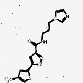 Cc1csc(-c2cc(C(=O)NCCCn3ccnc3)no2)c1